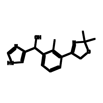 Cc1c(C2=NC(C)(C)OC2)cccc1C(O)c1c[nH]cn1